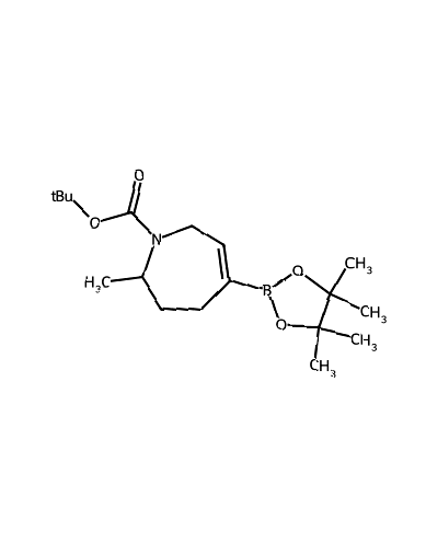 CC1CCC(B2OC(C)(C)C(C)(C)O2)=CCN1C(=O)OC(C)(C)C